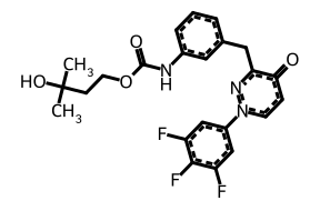 CC(C)(O)CCOC(=O)Nc1cccc(Cc2nn(-c3cc(F)c(F)c(F)c3)ccc2=O)c1